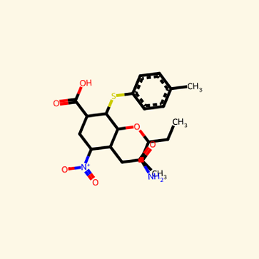 CCC(CC)OC1C(CC(N)=O)C([N+](=O)[O-])CC(C(=O)O)C1Sc1ccc(C)cc1